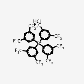 Cl.FC(F)(F)c1cc([B-](c2cc(C(F)(F)F)cc(C(F)(F)F)c2)(c2cc(C(F)(F)F)cc(C(F)(F)F)c2)c2cc(C(F)(F)F)cc(C(F)(F)F)c2)cc(C(F)(F)F)c1